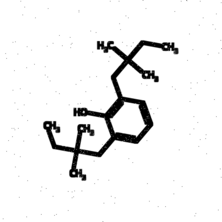 CCC(C)(C)Cc1cccc(CC(C)(C)CC)c1O